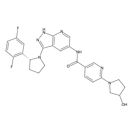 O=C(Nc1cnc2[nH]nc(N3CCC[C@@H]3c3cc(F)ccc3F)c2c1)c1ccc(N2CCC(O)C2)nc1